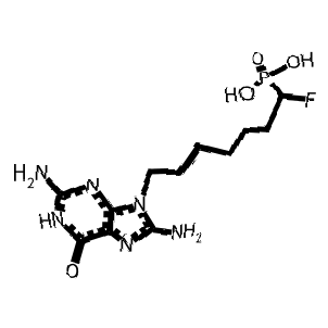 Nc1nc2c(nc(N)n2CCCCCCC(F)P(=O)(O)O)c(=O)[nH]1